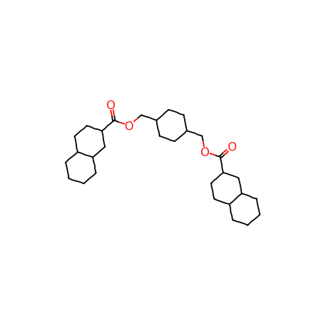 O=C(OCC1CCC(COC(=O)C2CCC3CCCCC3C2)CC1)C1CCC2CCCCC2C1